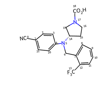 N#Cc1ccc(N(Cc2ccccc2C(F)(F)F)[C@H]2CCN(C(=O)O)C2)cc1